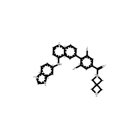 O=C(c1cc(F)c(-c2ccc3nccc(Nc4ccc5scnc5c4)c3c2)c(F)c1)N1CC2(COC2)C1